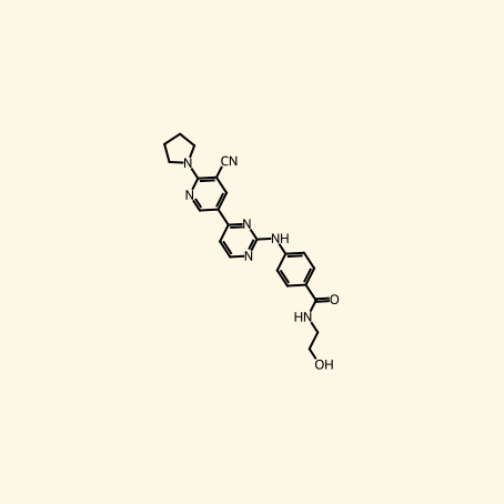 N#Cc1cc(-c2ccnc(Nc3ccc(C(=O)NCCO)cc3)n2)cnc1N1CCCC1